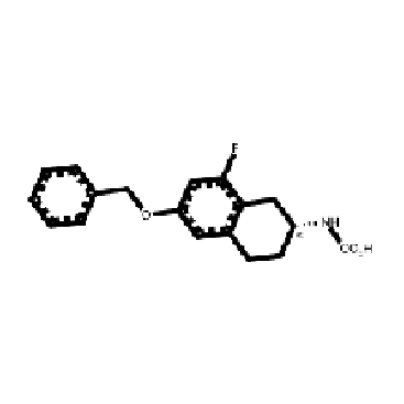 O=C(O)N[C@@H]1CCc2cc(OCc3ccccc3)cc(F)c2C1